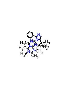 CB1N(C)B(C)N2B(C)N3B4N(B2N1C)C(C)(C)C(C)(C)c1cnc(n14)-c1ccccc13